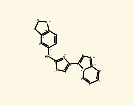 c1ccn2c(-c3csc(Nc4ccc5c(c4)CCO5)n3)cnc2c1